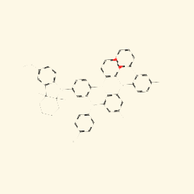 Cc1cc2c3c(c1)N(c1ccc(C(C)(C)C)cc1-c1ccccc1)c1ccccc1B3c1ccc(N3c4ccc([SiH](C)C)cc4C4(C)CCCCC34C)cc1N2c1ccc(C(C)(C)C)cc1